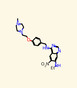 CCNc1cc2ncnc(NCc3ccc(OCCN4CCN(C)CC4)cc3)c2cc1[N+](=O)[O-]